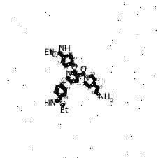 CCOC(=N)c1ccc(Oc2ccc(C(=O)N3CCC(CCN)CC3)c(Oc3ccc(C(=N)OCC)cc3)n2)cc1